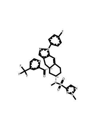 CN([C@H]1CCC2=Cc3c(cnn3-c3ccc(F)cc3)C[C@]2(C(=O)c2cc(C(F)(F)F)ccn2)C1)S(=O)(=O)c1cnn(C)n1